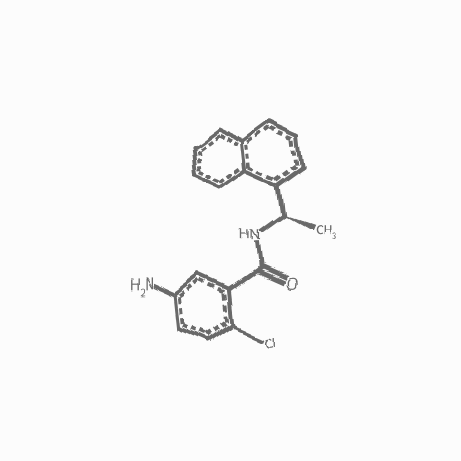 C[C@@H](NC(=O)c1cc(N)ccc1Cl)c1cccc2ccccc12